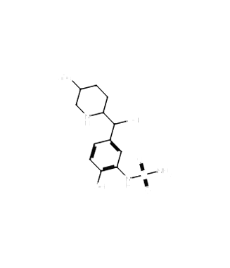 CCCCC1CCC(C(O)c2ccc(O)c(NS(N)(=O)=O)c2)NC1